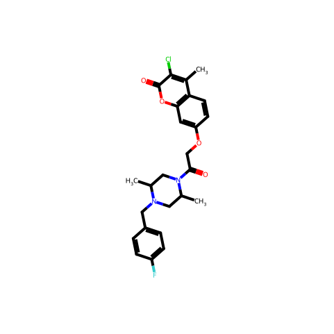 Cc1c(Cl)c(=O)oc2cc(OCC(=O)N3CC(C)N(Cc4ccc(F)cc4)CC3C)ccc12